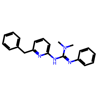 CN(C)C(=Nc1ccccc1)Nc1cccc(Cc2ccccc2)n1